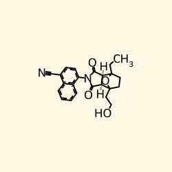 CCC12CCC(CCO)(O1)[C@H]1C(=O)N(c3ccc(C#N)c4ccccc34)C(=O)[C@H]12